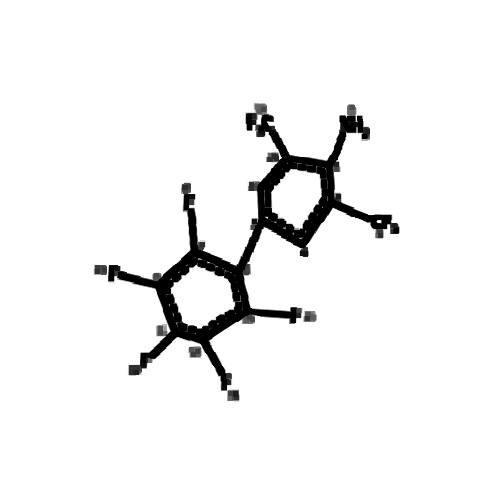 Nc1c(C(F)(F)F)cc(-c2c(F)c(F)c(F)c(F)c2F)cc1C(F)(F)F